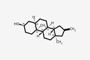 C=C1C[C@H]2[C@@H]3CC[C@@H]4C[C@H](O)CC[C@]4(C)[C@H]3CC[C@]2(C)C1